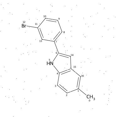 Cc1ccc2[nH]c(-c3cccc(Br)c3)cc2c1